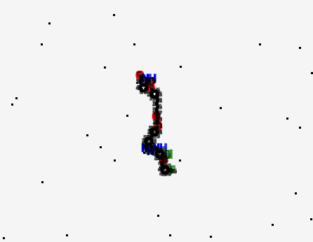 O=C1Cc2cccc(Oc3ccc(CCCCCOCCOc4ccc(-c5ccc6ncnc(Nc7ccc(OCc8cccc(F)c8)c(Cl)c7)c6c5)cc4)cc3)c2C(=O)N1